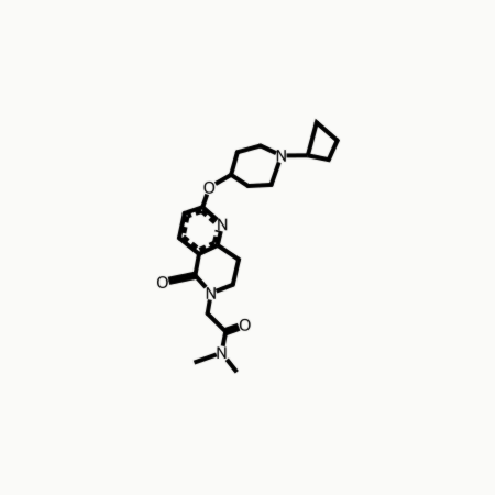 CN(C)C(=O)CN1CCc2nc(OC3CCN(C4CCC4)CC3)ccc2C1=O